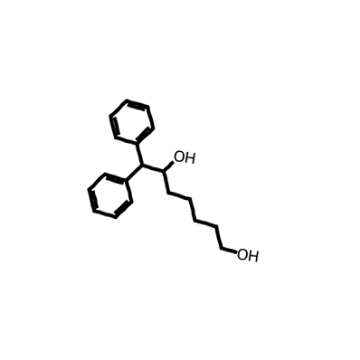 OCCCCCC(O)C(c1ccccc1)c1ccccc1